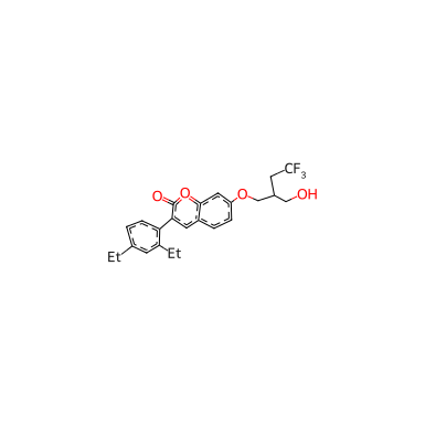 CCc1ccc(-c2cc3ccc(OCC(CO)CC(F)(F)F)cc3oc2=O)c(CC)c1